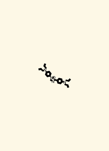 C=CCN(CC=C)c1ccc(C2=NCN(c3ccc(N(CC=C)CC=C)cc3)O2)cc1